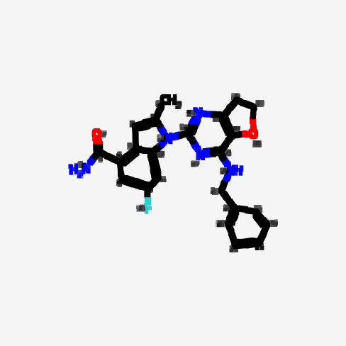 Cc1cc2c(C(N)=O)cc(F)cc2n1-c1nc2c(c(NCc3ccccc3)n1)OCC2